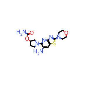 NC(=O)OC1CCN(c2nc3nc(N4CCOCC4)sc3cc2N)C1